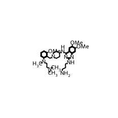 COc1cc2nc(NCCCN)nc(NC3CCN(Cc4c(OC)cccc4N(C)CCN(C)C)CC3)c2cc1OC